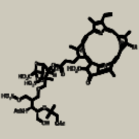 C=CC1=C(C)c2cc3[nH]c(c4c5nc(cc6[nH]c(cc1n2)c(C)c6CC)C(C)=C5C(=O)C4C(=O)O)C(CCC(=O)O[C@H]1C2OC(C(=O)O)(OC1(C)COCC(COS(=O)(=O)O)[C@H](NC(C)=O)[C@H](CO)OC(C)(C)COC(C)=O)[C@]2(CO)OS(=O)(=O)O)C3C